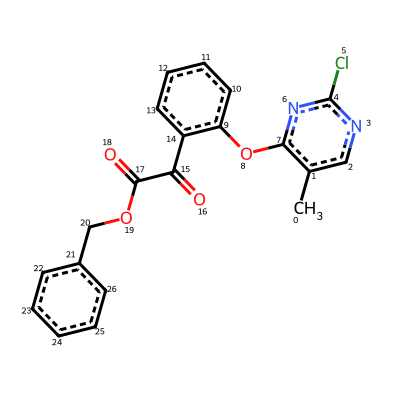 Cc1cnc(Cl)nc1Oc1ccccc1C(=O)C(=O)OCc1ccccc1